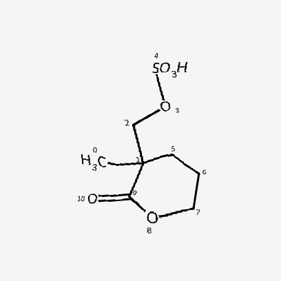 CC1(COS(=O)(=O)O)CCCOC1=O